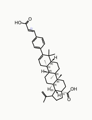 C=C(C)C1CC[C@]2(C(=O)O)CC[C@]3(C)[C@H](CC[C@@H]4[C@@]5(C)CC=C(c6ccc(/C=C/C(=O)O)cc6)C(C)(C)[C@@H]5CC[C@]43C)[C@@H]12